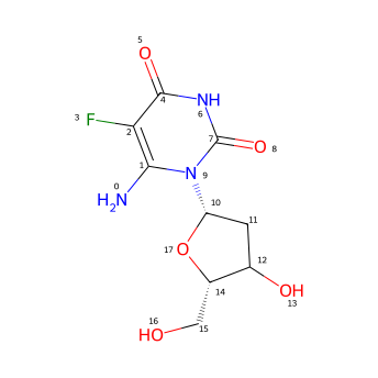 Nc1c(F)c(=O)[nH]c(=O)n1[C@@H]1CC(O)[C@H](CO)O1